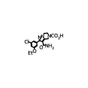 CCOc1cc(Cl)cc(-c2nn3c(c2C(N)=O)CN(C(=O)O)CC3)c1